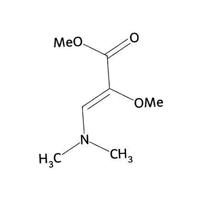 COC(=O)C(=CN(C)C)OC